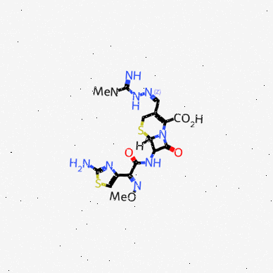 CNC(=N)N/N=C\C1=C(C(=O)O)N2C(=O)C(NC(=O)C(=NOC)c3csc(N)n3)[C@@H]2SC1